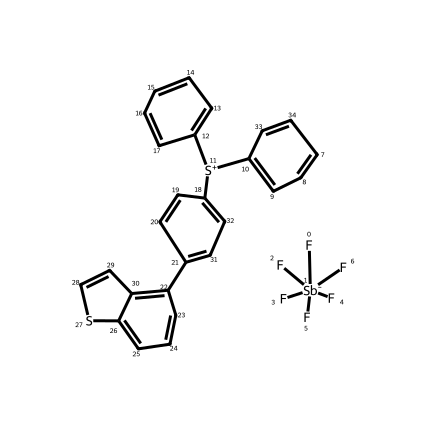 [F][Sb-]([F])([F])([F])([F])[F].c1ccc([S+](c2ccccc2)c2ccc(-c3cccc4sccc34)cc2)cc1